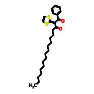 CCCCCCCCCCCCCCCC(=O)C(C(=O)c1ccccc1)=C1SC=CS1